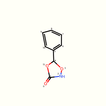 O=C1NOC(c2ccccc2)O1